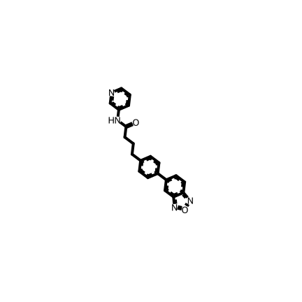 O=C(CCCc1ccc(-c2ccc3nonc3c2)cc1)Nc1cccnc1